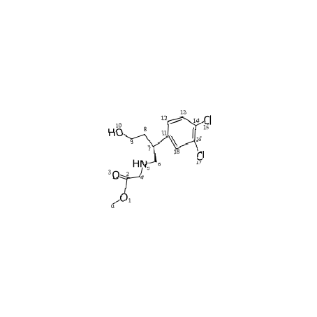 COC(=O)CNC[C@@H](CCO)c1ccc(Cl)c(Cl)c1